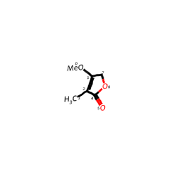 COC1=C(C)C(=O)OC1